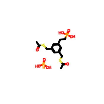 CC(=O)SCc1cc(CCP(=O)(O)O)cc(CSC(C)=O)c1.O=[PH](O)O